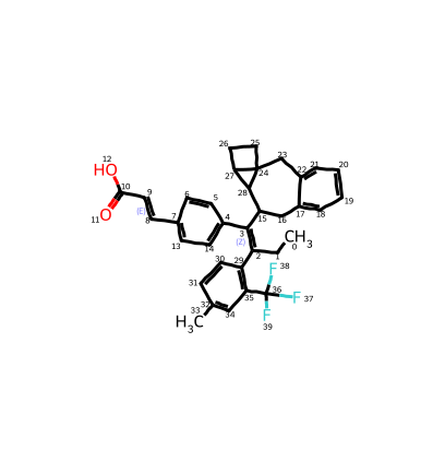 CC/C(=C(/c1ccc(/C=C/C(=O)O)cc1)C1Cc2ccccc2CC23CCC2C13)c1ccc(C)cc1C(F)(F)F